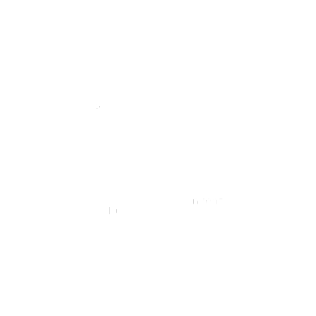 CCCCCCC(CC)CCC[S]